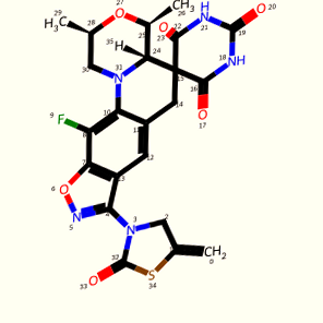 C=C1CN(c2noc3c(F)c4c(cc23)CC2(C(=O)NC(=O)NC2=O)[C@H]2[C@H](C)O[C@H](C)CN42)C(=O)S1